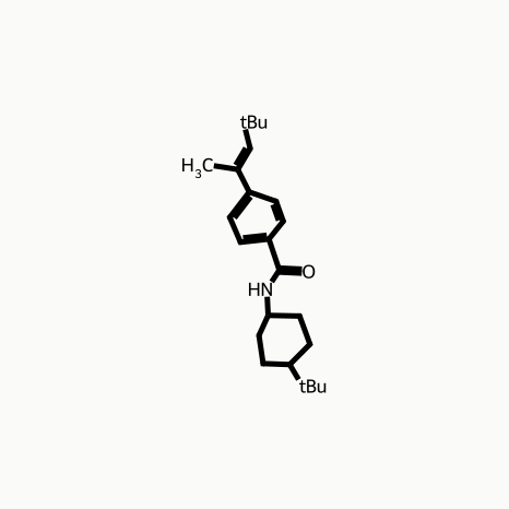 C/C(=C\C(C)(C)C)c1ccc(C(=O)NC2CCC(C(C)(C)C)CC2)cc1